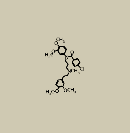 COc1ccc(CCN(C)CCCN(C(=O)c2ccc(Cl)cc2)c2ccc(OC)c(OC)c2)cc1OC